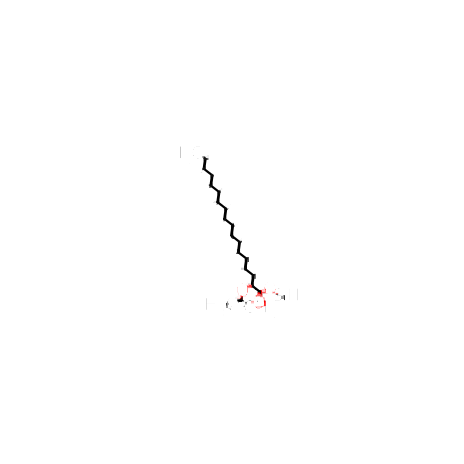 CCCCCCCCCCCCCCCCC(OC(C)C)C(=O)O[SiH3]